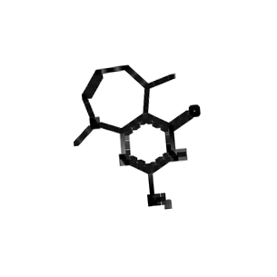 CC1CC=CN(C)c2nc(N)[nH]c(=O)c21